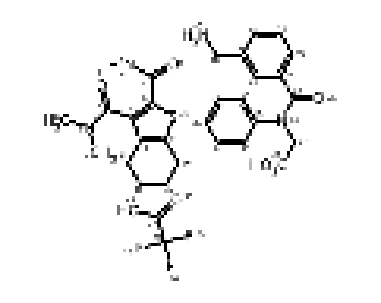 CN(C)C(=O)c1c(C(N)=O)sc2c1CCCC2.NCc1cccc(C(=O)N(CC(=O)O)c2ccccc2)c1.O=C(O)C(F)(F)F